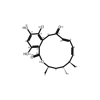 C[C@@H]1C[C@@H](C)[C@H](C)/C=C\C=C\C(=O)Cc2c(Cl)c(O)cc(O)c2C(=O)O1